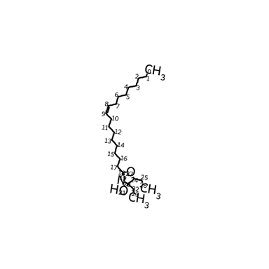 CCCCCCCC/C=C\CCCCCCCCC1=NC(O)(CC)C(CC)O1